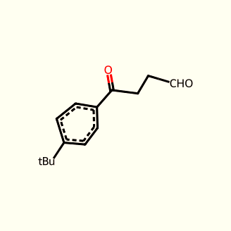 CC(C)(C)c1ccc(C(=O)CCC=O)cc1